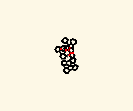 c1ccc(-c2ccccc2-c2c(-c3ccccc3)cccc2N(c2ccc3c(c2)C(c2ccccc2)(c2ccccc2)c2ccccc2-3)c2cccc3c2-c2ccccc2C32c3ccccc3-c3ccccc32)cc1